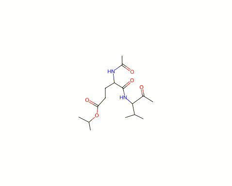 CC(=O)NC(CCC(=O)OC(C)C)C(=O)NC(C(C)=O)C(C)C